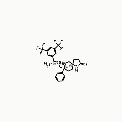 C[C@@H](OC[C@@]1(c2ccccc2)CC[C@]2(CCC(=O)N2)CN1)c1cc(C(F)(F)F)cc(C(F)(F)F)c1